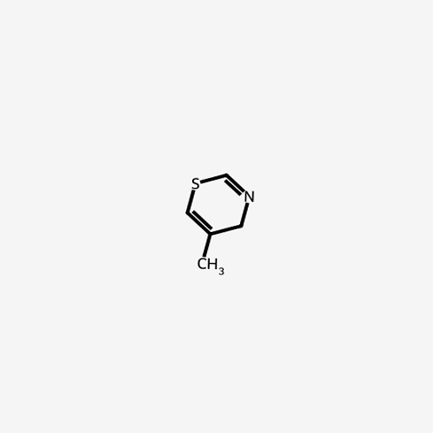 CC1=CSC=NC1